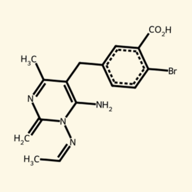 C=C1N=C(C)C(Cc2ccc(Br)c(C(=O)O)c2)=C(N)N1/N=C\C